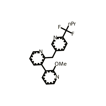 CCCC(F)(F)c1ccc(Cc2ncccc2-c2cccnc2OC)cn1